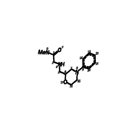 CNC(=O)CNCC1CN(c2ccccc2)CCO1